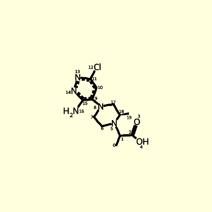 CC(C(=O)O)N1CCN(c2cc(Cl)nnc2N)C[C@H]1C